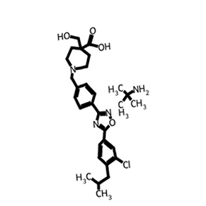 CC(C)(C)N.CC(C)Cc1ccc(-c2nc(-c3ccc(CN4CCC(CO)(C(=O)O)CC4)cc3)no2)cc1Cl